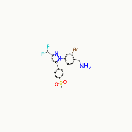 CS(=O)(=O)c1ccc(-c2cc(C(F)F)nn2-c2ccc(CN)c(Br)c2)cc1